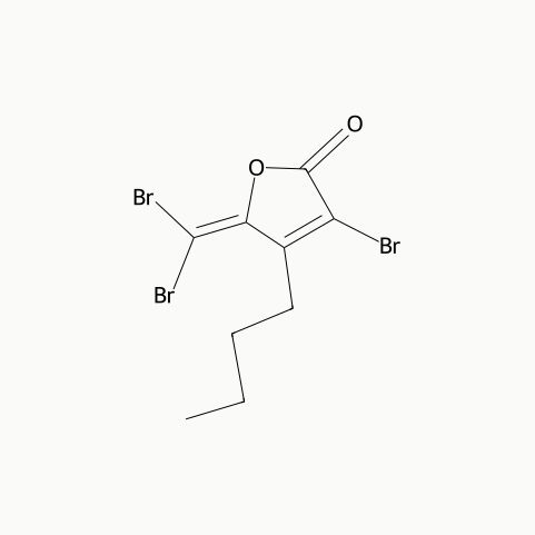 CCCCC1=C(Br)C(=O)OC1=C(Br)Br